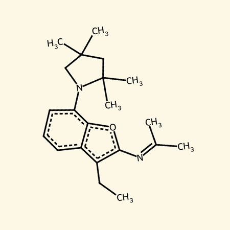 CCc1c(N=C(C)C)oc2c(N3CC(C)(C)CC3(C)C)cccc12